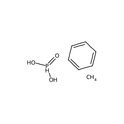 C.O=[PH](O)O.c1ccccc1